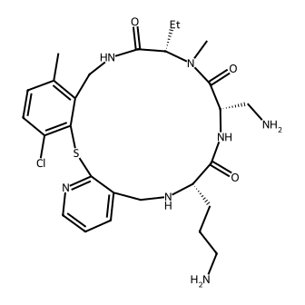 CC[C@H]1C(=O)NCc2c(C)ccc(Cl)c2Sc2ncccc2CN[C@@H](CCCN)C(=O)N[C@@H](CN)C(=O)N1C